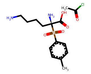 CC(=O)Cl.Cc1ccc(S(=O)(=O)[C@](N)(CCCCN)C(=O)O)cc1